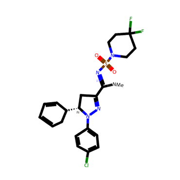 CN/C(=N\S(=O)(=O)N1CCC(F)(F)CC1)C1=NN(c2ccc(Cl)cc2)[C@H](C2C=CC=CC2)C1